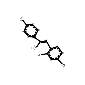 CC(=Cc1ccc(Cl)cc1F)c1ccc(Cl)cc1